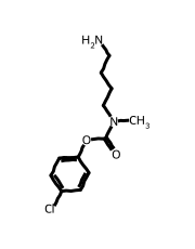 CN(CCCCN)C(=O)Oc1ccc(Cl)cc1